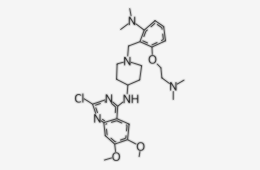 COc1cc2nc(Cl)nc(NC3CCN(Cc4c(OCCN(C)C)cccc4N(C)C)CC3)c2cc1OC